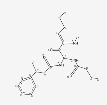 CCCC=C(NC)C(=O)N(NC(=O)CCC)NC(=O)CC(C)c1ccccc1